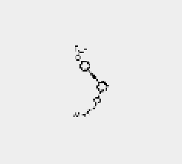 COCCC1CC(c2cccc(C#Cc3ccc(OC(F)F)cc3)c2)C1